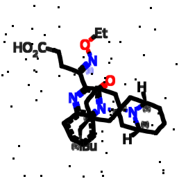 CCO/N=C(\CCC(=O)O)c1nc2ccccc2n([C@H]2C[C@H]3CCC[C@@H](C2)N3[C@H]2CCC[C@H](C[C@H](C)CC)C2)c1=O